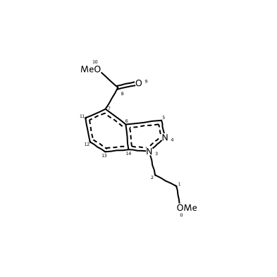 COCCn1ncc2c(C(=O)OC)cccc21